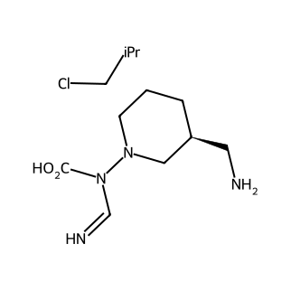 CC(C)CCl.N=CN(C(=O)O)N1CCC[C@@H](CN)C1